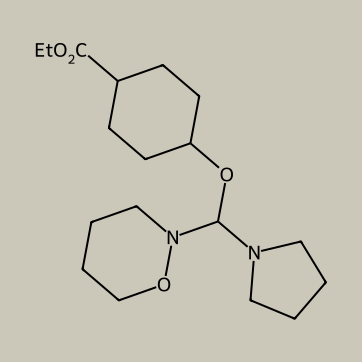 CCOC(=O)C1CCC(OC(N2CCCC2)N2CCCCO2)CC1